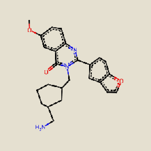 COc1ccc2nc(-c3ccc4occc4c3)n(CC3CCCC(CN)C3)c(=O)c2c1